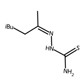 CCC(C)C/C(C)=N\NC(N)=S